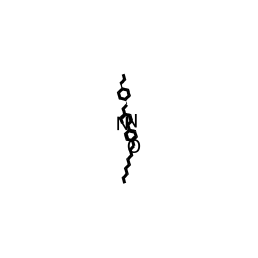 CCCCCCCCOc1ccc(-c2ncc(CC[C@H]3CC[C@H](CCC)CC3)cn2)cc1